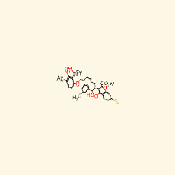 CCCc1c(OCC/C=C\C=C\[C@@H](c2c(C(=O)O)oc3c(c2=O)=CCC(=S)C=3)[C@@H](O)c2cccc(C)c2)ccc(C(C)=O)c1O